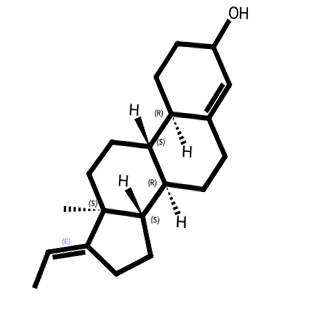 C/C=C1\CC[C@H]2[C@@H]3CCC4=CC(O)CC[C@@H]4[C@H]3CC[C@]12C